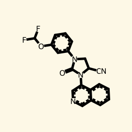 N#CC1CN(c2cccc(OC(F)F)c2)C(=O)N1c1cncc2ccccc12